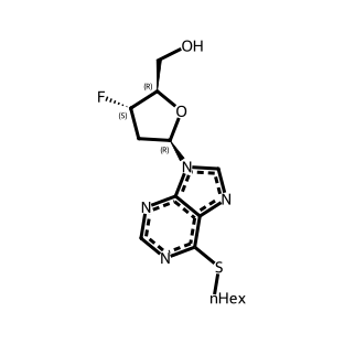 CCCCCCSc1ncnc2c1ncn2[C@H]1C[C@H](F)[C@@H](CO)O1